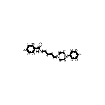 O=C(NCCCCN1CCN(c2ccccc2)CC1)c1ccccc1